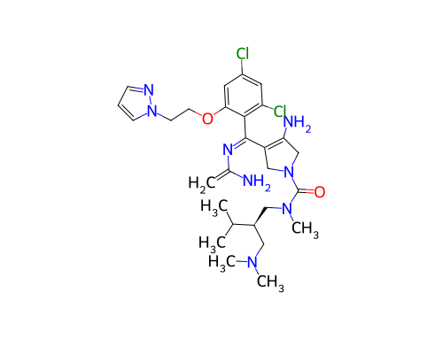 C=C(N)/N=C(\C1=C(N)CN(C(=O)N(C)C[C@@H](CN(C)C)C(C)C)C1)c1c(Cl)cc(Cl)cc1OCCn1cccn1